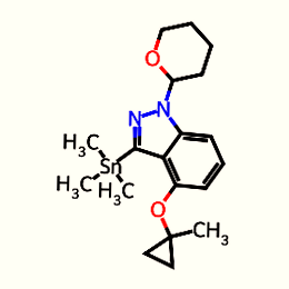 CC1(Oc2cccc3c2[c]([Sn]([CH3])([CH3])[CH3])nn3C2CCCCO2)CC1